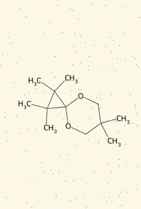 CC1(C)COC2(OC1)C(C)(C)C2(C)C